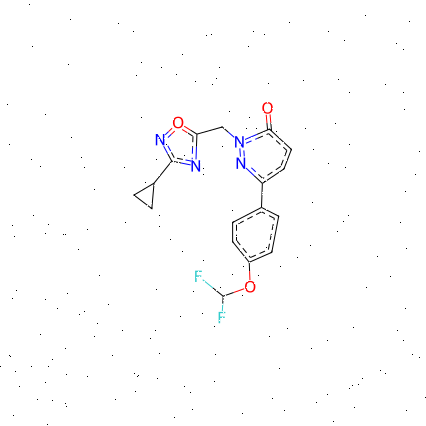 O=c1ccc(-c2ccc(OC(F)F)cc2)nn1Cc1nc(C2CC2)no1